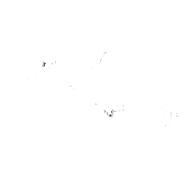 CNC(=O)C1CC(O)CN1C(=O)[C@@H](C(C)C)n1cc(-c2cncs2)nn1